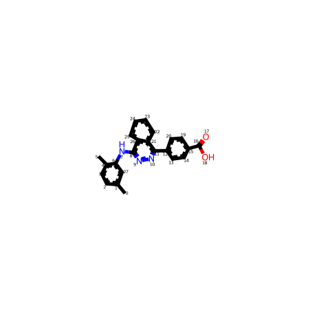 Cc1ccc(C)c(Nc2nnc(-c3ccc(C(=O)O)cc3)c3ccccc23)c1